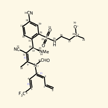 C=C/C=C(\C=C\C(F)(F)F)N(C=O)/C(C)=C(/C#N)[C@H](NC)c1ccc(C#N)cc1S(=O)(=O)NCC[S+](C)[O-]